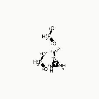 O=[PH2][O-].O=[PH2][O-].[La+2][n]1[nH][nH]1